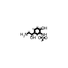 CS(=O)(=O)Nc1cc([C@H](O)CN)ccc1O